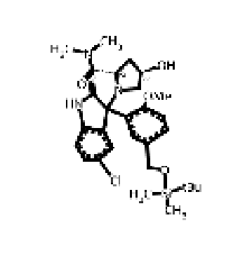 COc1ccc(CO[Si](C)(C)C(C)(C)C)cc1C1(N2C[C@H](O)C[C@H]2C(=O)N(C)C)C(=O)Nc2ccc(Cl)cc21